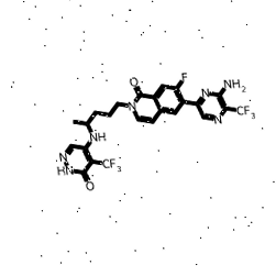 CC(CCCn1ccc2cc(-c3cnc(C(F)(F)F)c(N)n3)c(F)cc2c1=O)Nc1cn[nH]c(=O)c1C(F)(F)F